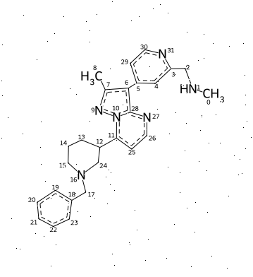 CNCc1cc(-c2c(C)nn3c(C4CCCN(Cc5ccccc5)C4)ccnc23)ccn1